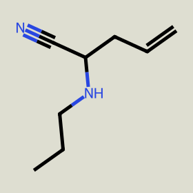 C=CCC(C#N)NCCC